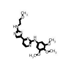 COCCNc1ncc(-c2ccnc(Nc3cc(OC)c(OC)c(OC)c3)n2)s1